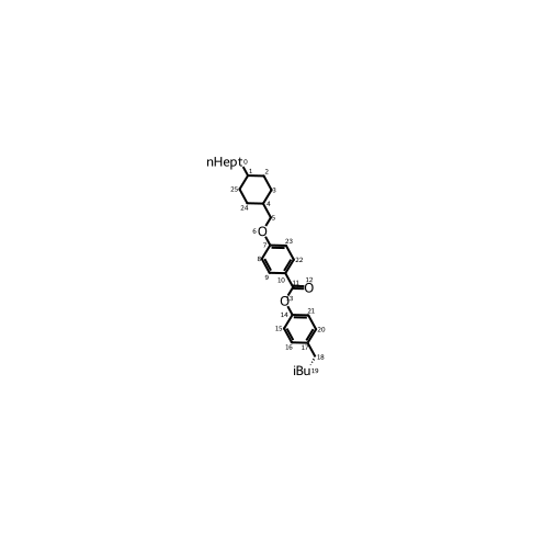 CCCCCCCC1CCC(COc2ccc(C(=O)Oc3ccc(C[C@@H](C)CC)cc3)cc2)CC1